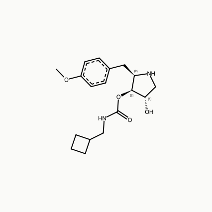 COc1ccc(C[C@H]2NC[C@H](O)[C@H]2OC(=O)NCC2CCC2)cc1